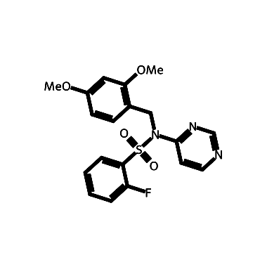 COc1ccc(CN(c2ccncn2)S(=O)(=O)c2ccccc2F)c(OC)c1